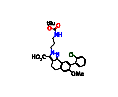 COc1cc2c(cc1-c1ccccc1Cl)-c1nn(CCCNC(=O)OC(C)(C)C)c(C(=O)O)c1CC2